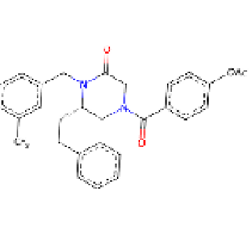 CC(=O)Oc1ccc(C(=O)N2CC(=O)N(Cc3cccc(C(F)(F)F)c3)[C@@H](CCc3ccccc3)C2)cc1